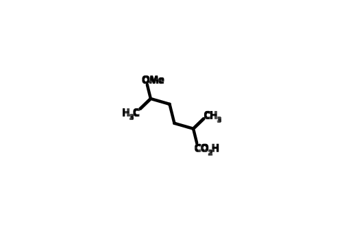 COC(C)CCC(C)C(=O)O